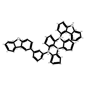 c1cc(-c2ccc3oc4ccccc4c3c2)cc(N2c3ccccc3B3c4ccccc4N(c4cccc5oc6ccccc6c45)c4cccc2c43)c1